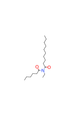 CCCCCCCCCC(=O)N(CC)C(=O)CCCCC